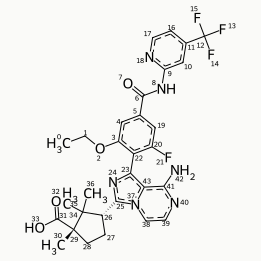 CCOc1cc(C(=O)Nc2cc(C(F)(F)F)ccn2)cc(F)c1-c1nc([C@@H]2CC[C@](C)(C(=O)O)C2(C)C)n2ccnc(N)c12